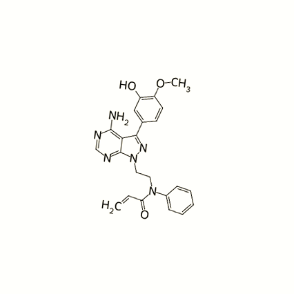 C=CC(=O)N(CCn1nc(-c2ccc(OC)c(O)c2)c2c(N)ncnc21)c1ccccc1